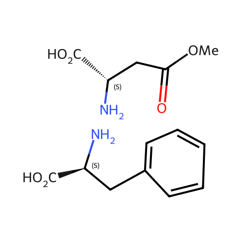 COC(=O)C[C@H](N)C(=O)O.N[C@@H](Cc1ccccc1)C(=O)O